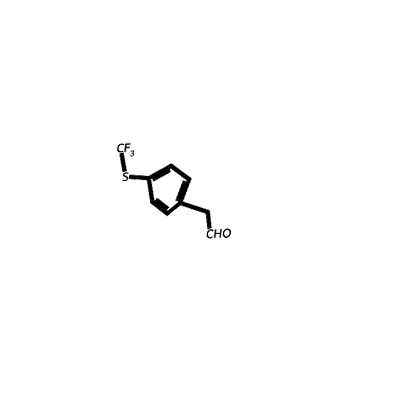 O=CCc1ccc(SC(F)(F)F)cc1